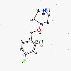 Fc1ccc(COC2CCNCC2)c(Cl)c1